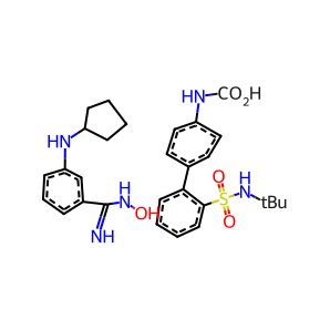 CC(C)(C)NS(=O)(=O)c1ccccc1-c1ccc(NC(=O)O)cc1.N=C(NO)c1cccc(NC2CCCC2)c1